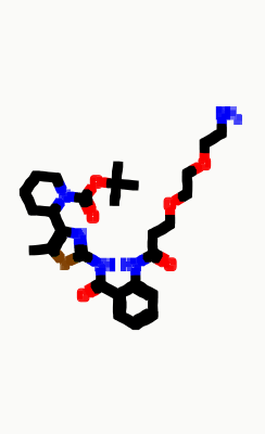 Cc1sc(NC(=O)c2ccccc2NC(=O)CCOCCOCCN)nc1C1CCCCN1C(=O)OC(C)(C)C